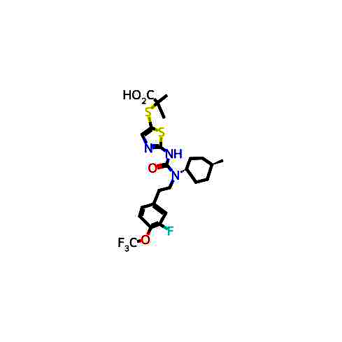 CC(C)(Sc1cnc(NC(=O)N(CCc2ccc(OC(F)(F)F)c(F)c2)[C@H]2CC[C@H](C)CC2)s1)C(=O)O